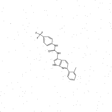 Cc1ccccc1-c1ccc2c(NC(=O)Nc3ccc(C(F)(F)F)cc3)c[nH]c2n1